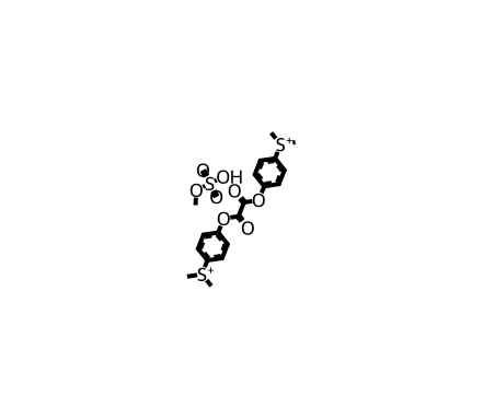 COS(=O)(=O)O.C[S+](C)c1ccc(OC(=O)C(=O)Oc2ccc([S+](C)C)cc2)cc1